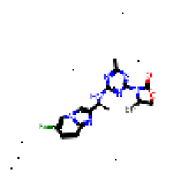 CCC1COC(=O)N1c1nc(C)nc(N[C@@H](C)c2cn3cc(Br)ccc3n2)n1